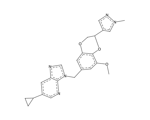 COc1cc(Cn2cnc3cc(C4CC4)cnc32)cc2c1OC(c1cnn(C)c1)CO2